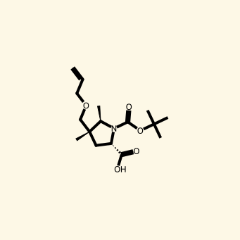 C=CCOC[C@@]1(C)C[C@@H](C(=O)O)N(C(=O)OC(C)(C)C)[C@@H]1C